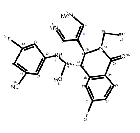 CN/C=C(\C=N)[C@@H]1[C@@H](C(O)Nc2cc(F)cc(C#N)c2)c2cc(F)ccc2C(=O)N1CC(C)C